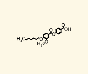 CCCCCCCOc1ccc(C(=O)Oc2ccc(C(=O)O)cc2)cc1OC